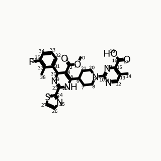 COC(=O)C1=C(C2CCN(c3ncc(C)c(C(=O)O)n3)CC2)NC(c2nccs2)=NC1c1cccc(F)c1C